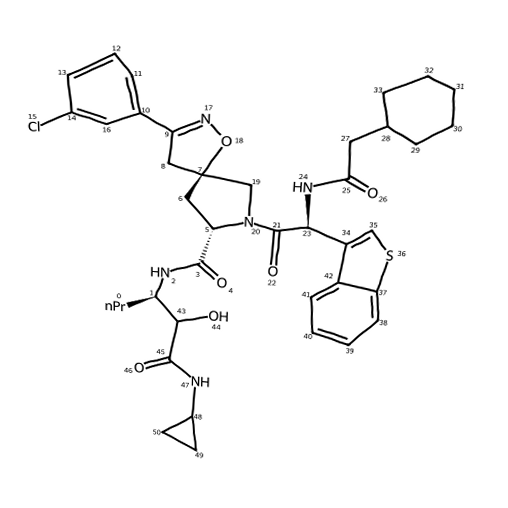 CCC[C@@H](NC(=O)[C@@H]1C[C@]2(CC(c3cccc(Cl)c3)=NO2)CN1C(=O)[C@@H](NC(=O)CC1CCCCC1)c1csc2ccccc12)C(O)C(=O)NC1CC1